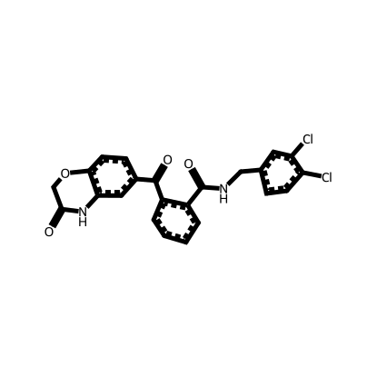 O=C1COc2ccc(C(=O)c3ccccc3C(=O)NCc3ccc(Cl)c(Cl)c3)cc2N1